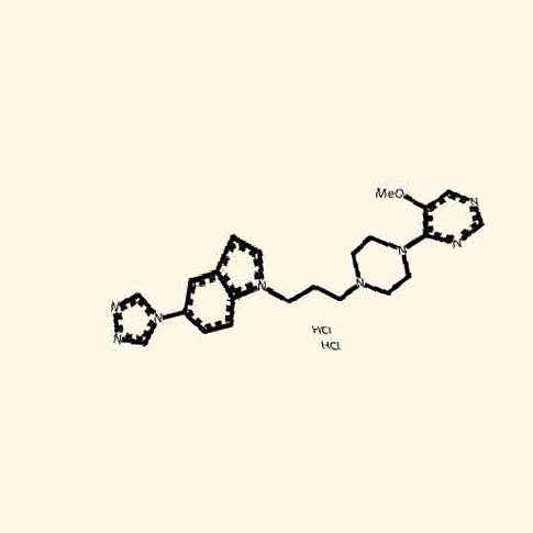 COc1cncnc1N1CCN(CCCn2ccc3cc(-n4cnnc4)ccc32)CC1.Cl.Cl